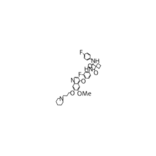 COc1cc2c(Oc3ccc(NC(=O)C4(C(=O)Nc5ccc(F)cc5)CCC4)cc3F)ccnc2cc1OCCCN1CCCCC1